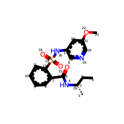 CC[C@H](C)NC(=O)c1ccccc1S(=O)(=O)Nc1cncc(OC)c1